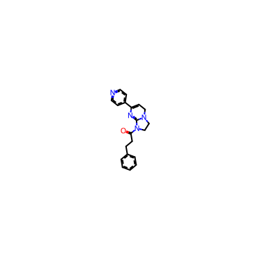 O=C(CCc1ccccc1)N1CCN2CC=C(c3ccncc3)N=C21